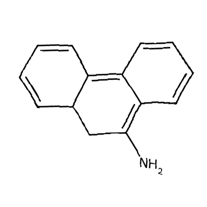 NC1=c2ccccc2=C2C=CC=CC2C1